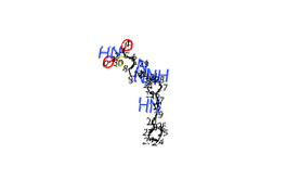 O=C1NC(=O)/C(=C/C2=CCNC(N[C@H]3CC[C@H](CNCCc4ccccc4)CC3)=N2)S1